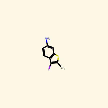 Cc1sc2cc(N)ccc2c1I